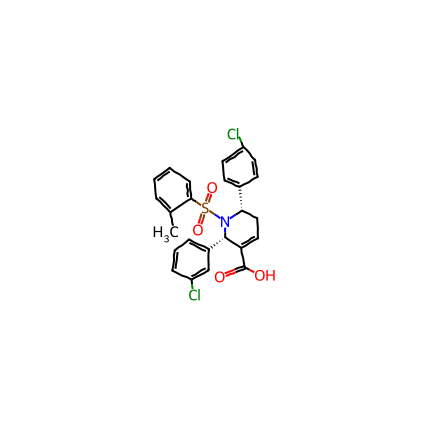 Cc1ccccc1S(=O)(=O)N1[C@@H](c2cccc(Cl)c2)C(C(=O)O)=CC[C@H]1c1ccc(Cl)cc1